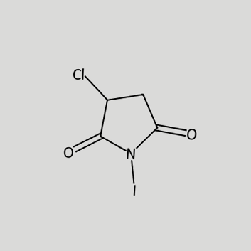 O=C1CC(Cl)C(=O)N1I